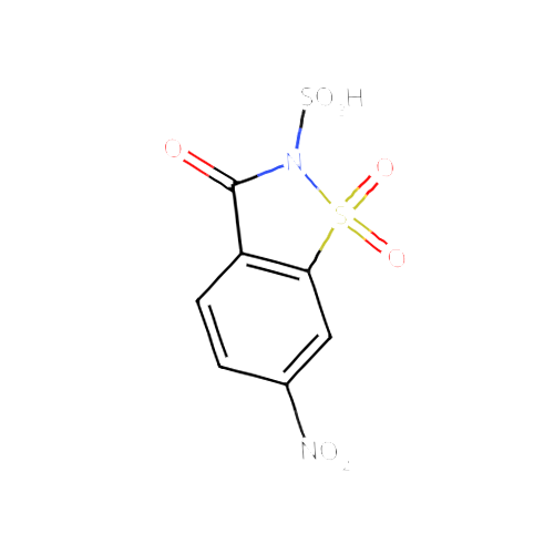 O=C1c2ccc([N+](=O)[O-])cc2S(=O)(=O)N1S(=O)(=O)O